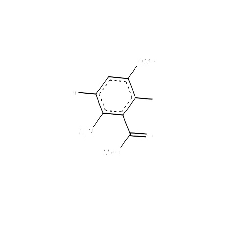 COC(=O)c1c(N)c(Br)cc(OC)c1F